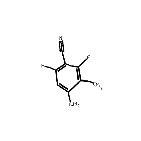 Cc1c(N)cc(F)c(C#N)c1F